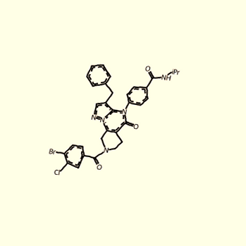 CC(C)NC(=O)c1ccc(-n2c(=O)c3c(n4ncc(Cc5ccccc5)c24)CN(C(=O)c2ccc(Br)c(Cl)c2)CC3)cc1